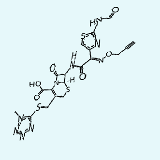 C#CCO/N=C(/C(=O)NC1C(=O)N2C(C(=O)O)=C(CSc3nnnn3C)CS[C@H]12)c1csc(NC=O)n1